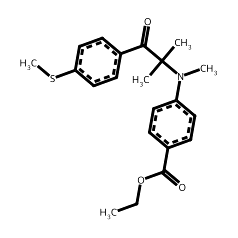 CCOC(=O)c1ccc(N(C)C(C)(C)C(=O)c2ccc(SC)cc2)cc1